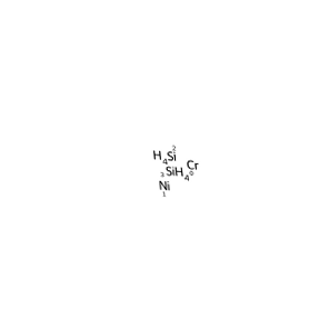 [Cr].[Ni].[SiH4].[SiH4]